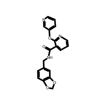 O=C(NCc1ccc2c(c1)OCO2)c1cccnc1Oc1cccnc1